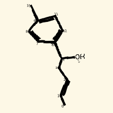 CC=CCC(O)c1ccc(C)cc1